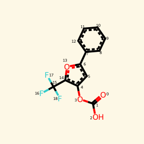 O=C(O)Oc1cc(-c2ccccc2)oc1C(F)(F)F